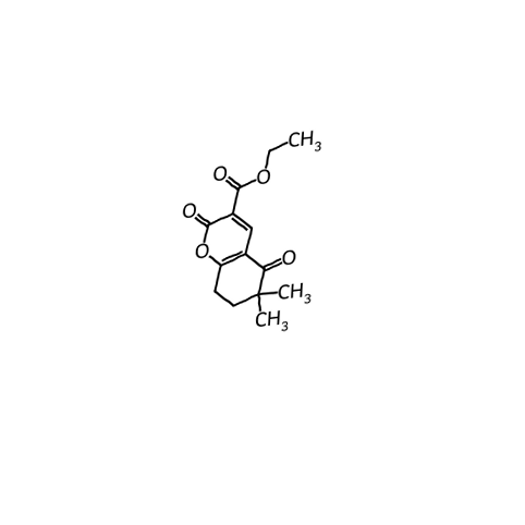 CCOC(=O)c1cc2c(oc1=O)CCC(C)(C)C2=O